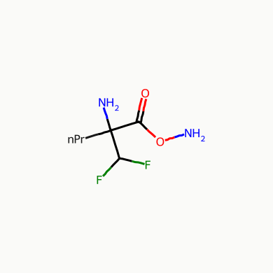 CCCC(N)(C(=O)ON)C(F)F